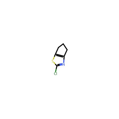 Clc1nc2c(s1)CCC2